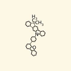 CC1(C)c2ccccc2-c2cc3c(cc21)c1ccccc1n3-c1ccc(-c2cccc3c2oc2ccccc23)cc1